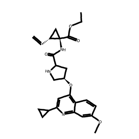 C=C[C@@H]1C[C@]1(NC(=O)C1C[C@@H](Oc2cc(C3CC3)nc3cc(OC)ccc23)CN1)C(=O)OCC